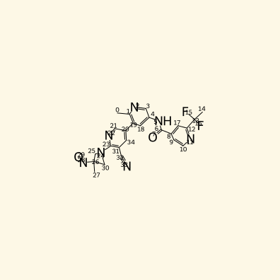 Cc1ncc(NC(=O)c2ccnc(C(C)(F)F)c2)cc1-c1cnc(N2CC(C)(N=O)C2)c(C#N)c1